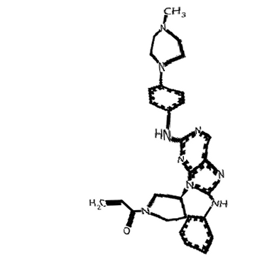 C=CC(=O)N1CC[C@H](n2c(Nc3ccccc3)nc3cnc(Nc4ccc(N5CCN(C)CC5)cc4)nc32)C1